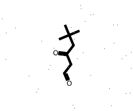 CC(C)(C)CC(=O)CC=O